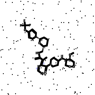 C=C(NC[C@H]1CCC[C@@H](C2C=CC(OC(F)(F)F)=CC2)O1)/C(C)=C(\N=C/N)C(=O)N1CCC(N[C@@H]2CCOC[C@@H]2OC)CC1